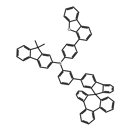 CC1(C)c2ccccc2-c2ccc(N(c3ccc(-c4cccc5c4oc4ccccc45)cc3)c3cccc(-c4ccc5c(c4)C4(c6ccccc6-c6ccccc6-c6ccccc64)c4ccccc4-5)c3)cc21